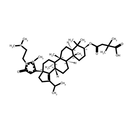 CC(C)C1=C2[C@H]3CC[C@@H]4[C@@]5(C)CC[C@H](OC(=O)CC(C)(C)C(=O)O)C(C)(C)[C@@H]5CC[C@@]4(C)[C@]3(C)CC[C@@]2(c2cc(=O)n(CCN(C)C)n2C)CC1